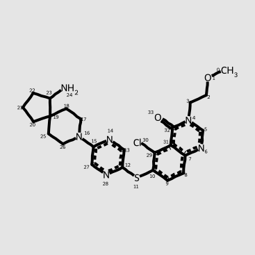 COCCn1cnc2ccc(Sc3cnc(N4CCC5(CCCC5N)CC4)cn3)c(Cl)c2c1=O